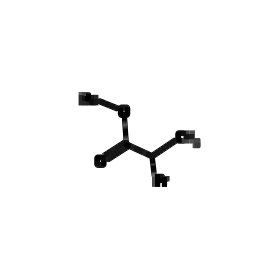 CCC(C)OC(=O)C(C)C(C)C